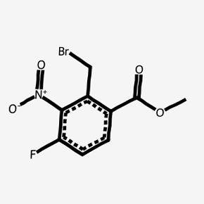 COC(=O)c1ccc(F)c([N+](=O)[O-])c1CBr